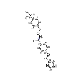 C/C(=N\OCc1ccc(C(C)(F)F)cc1)c1ccc(OCc2c[nH]cn2)cc1